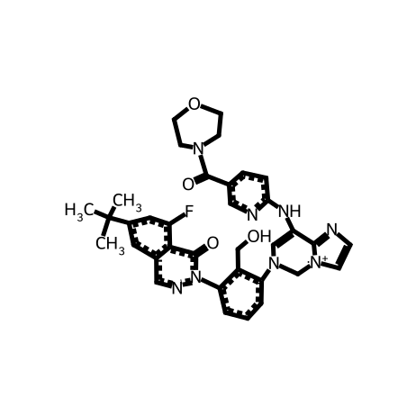 CC(C)(C)c1cc(F)c2c(=O)n(-c3cccc(N4C=C(Nc5ccc(C(=O)N6CCOCC6)cn5)C5=NC=C[N+]5C4)c3CO)ncc2c1